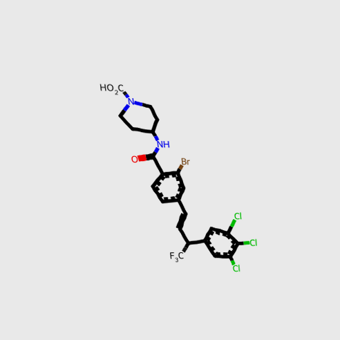 O=C(NC1CCN(C(=O)O)CC1)c1ccc(/C=C/C(c2cc(Cl)c(Cl)c(Cl)c2)C(F)(F)F)cc1Br